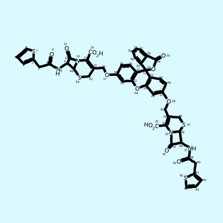 O=C(Cc1cccs1)NC1C(=O)N2C(C(=O)O)=C(COc3ccc4c(c3)Oc3cc(OCC5=C(C(=O)O)N6C(=O)C(NC(=O)Cc7cccs7)C6SC5)ccc3C43OC(=O)c4ccccc43)CSC12